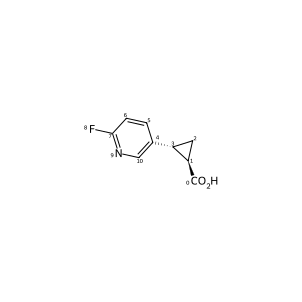 O=C(O)[C@@H]1C[C@H]1c1ccc(F)nc1